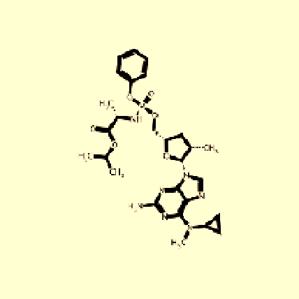 CC(C)OC(=O)[C@H](C)N[P@](=O)(OC[C@@H]1C[C@H](C)[C@H](n2cnc3c(N(C)C4CC4)nc(N)nc32)O1)Oc1ccccc1